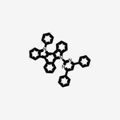 c1ccc(-c2cc(-c3ccccc3)nc(-n3c4ccccc4c4c3c3ccccc3c3c5ccccc5n(-c5ccccc5)c34)n2)cc1